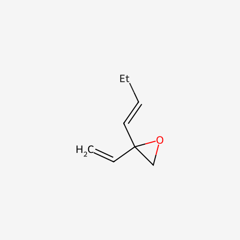 C=CC1(C=CCC)CO1